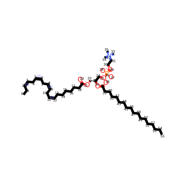 CC/C=C\C/C=C\C/C=C\C/C=C\CCCCCCC(=O)OC[C@H](COP(=O)([O-])OCC[N+](C)(C)C)OC(=O)CCCCCCCCCCCCCCCCC